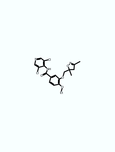 CCOc1ccc(C(=O)Nc2c(Cl)cncc2Cl)cc1OCC1(C)CC(C)=NO1